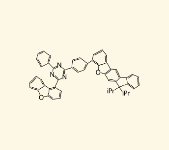 CC(C)C1(C(C)C)c2ccccc2-c2cc3c(cc21)oc1c(-c2ccc(-c4nc(-c5ccccc5)nc(-c5cccc6oc7ccccc7c56)n4)cc2)cccc13